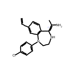 C=Cc1ccc2c(c1)N(c1ccc(Cl)cc1)CCN/C2=C(/C)N